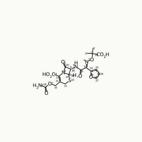 CC(C)(ON=C(C(=O)N[C@@H]1C(=O)N2C(C(=O)O)=C(COC(N)=O)CS[C@H]12)c1ccco1)C(=O)O